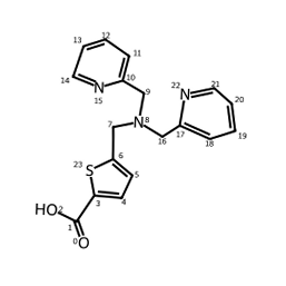 O=C(O)c1ccc(CN(Cc2ccccn2)Cc2ccccn2)s1